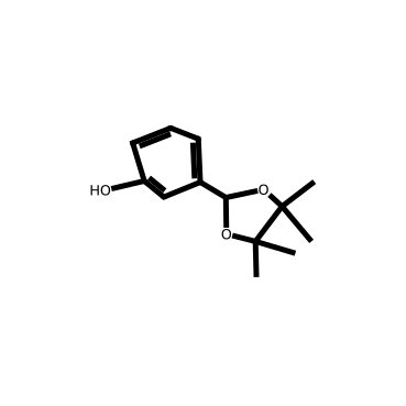 CC1(C)OC(c2cccc(O)c2)OC1(C)C